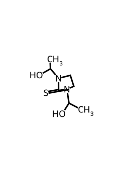 CC(O)N1CCN(C(C)O)C1=S